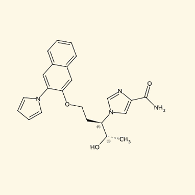 C[C@H](O)[C@@H](CCOc1cc2ccccc2cc1-n1cccc1)n1cnc(C(N)=O)c1